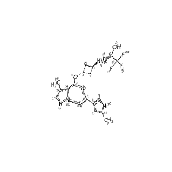 CN[C@H]1C[C@H](Oc2nc(-c3cnn(C)c3)cn3ncc(C)c23)C1.O=C(O)C(F)(F)F